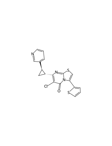 O=c1c(Cl)c([C@@H]2C[C@H]2c2cccnc2)nc2scc(-c3cccs3)n12